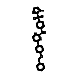 Cn1ccnc1S(=O)(=O)c1ccc(Nc2nccc(-c3ccc(OCc4ccccc4)cc3)n2)cc1